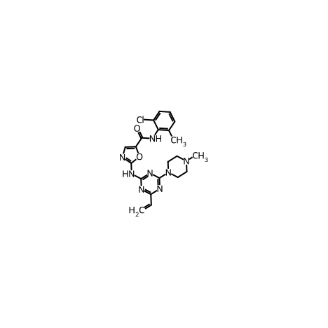 C=Cc1nc(Nc2ncc(C(=O)Nc3c(C)cccc3Cl)o2)nc(N2CCN(C)CC2)n1